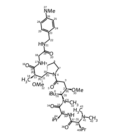 CC[C@H](C)[C@@H]([C@@H](CC(=O)N1CCC[C@H]1[C@H](OC)[C@@H](C)C(=O)NCC(=O)NCc1ccc(NC)cc1)OC)N(C)C(=O)[C@@H](NC(=O)[C@H](C(C)C)N(C)C)C(C)C